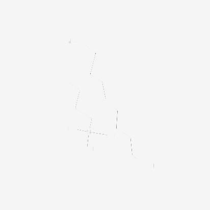 CCCCCCCCCCCCCCCCCCS(=O)(=O)O.C[N+](C)(C)C[C@H](O)CC(=O)[O-]